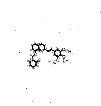 COc1cc(/C=C/c2ccc3cccc(OCc4ccccc4Cl)c3n2)cc(OC)c1OC